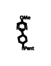 CCCCCC1CCC(c2ncc(OC)cn2)CC1